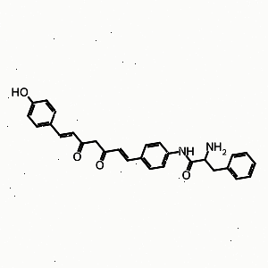 NC(Cc1ccccc1)C(=O)Nc1ccc(C=CC(=O)CC(=O)C=Cc2ccc(O)cc2)cc1